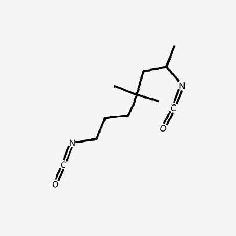 CC(CC(C)(C)CCCN=C=O)N=C=O